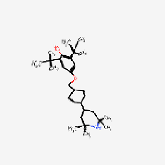 CC1(C)CC(C2CCC(COc3cc(C(C)(C)C)c(O)c(C(C)(C)C)c3)CC2)CC(C)(C)N1